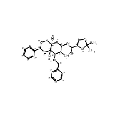 CC1(C)OCC(C(O)O[C@@H]2O[C@@H]3COC(c4ccccc4)O[C@H]3[C@H](OCc3ccccc3)[C@@H]2O)O1